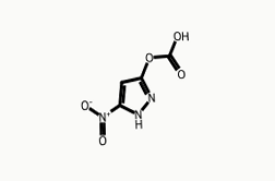 O=C(O)Oc1cc([N+](=O)[O-])[nH]n1